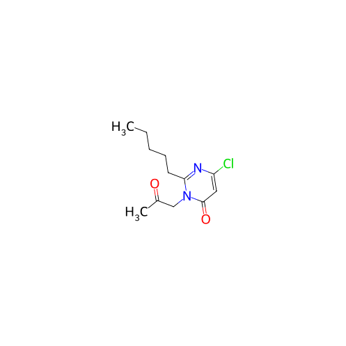 CCCCCc1nc(Cl)cc(=O)n1CC(C)=O